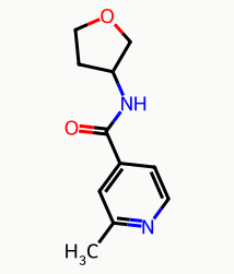 Cc1cc(C(=O)NC2CCOC2)ccn1